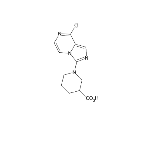 O=C(O)C1CCCN(c2ncc3c(Cl)nccn23)C1